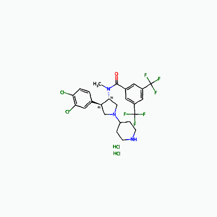 CN(C(=O)c1cc(C(F)(F)F)cc(C(F)(F)F)c1)[C@@H]1CN(C2CCNCC2)C[C@H]1c1ccc(Cl)c(Cl)c1.Cl.Cl